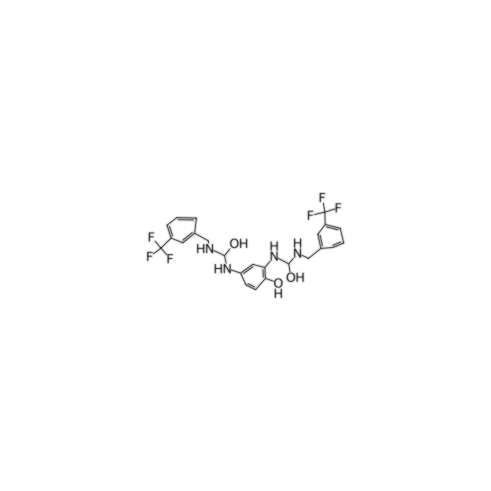 Oc1ccc(NC(O)NCc2cccc(C(F)(F)F)c2)cc1NC(O)NCc1cccc(C(F)(F)F)c1